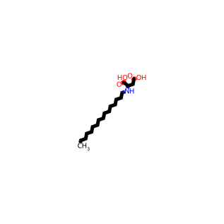 CCCCCCCCCCCCCCCCNC(CC(=O)O)C(=O)O